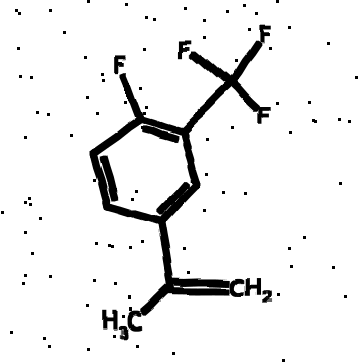 C=C(C)c1ccc(F)c(C(F)(F)F)c1